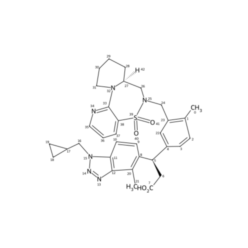 Cc1ccc([C@@H](CC(=O)O)c2ccc3c(nnn3CC3CC3)c2C)cc1CN1C[C@@H]2CCCCN2c2ncccc2S1(=O)=O